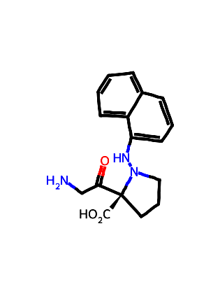 NCC(=O)[C@@]1(C(=O)O)CCCN1Nc1cccc2ccccc12